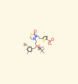 COC(=O)c1ccc(CCN2C(=O)SCCN2CCC(Cc2cc(C)cc(Br)c2)O[Si](C)(C)C(C)(C)C)s1